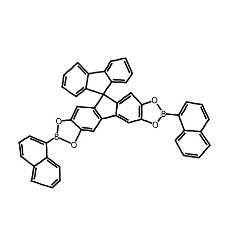 c1ccc2c(c1)-c1ccccc1C21c2cc3c(cc2-c2cc4c(cc21)OB(c1cccc2ccccc12)O4)OB(c1cccc2ccccc12)O3